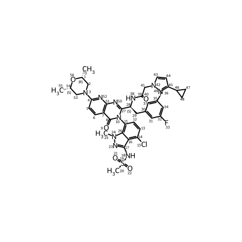 C[C@@H]1CN(c2ccc3c(=O)n(-c4ccc(Cl)c5c(NS(C)(=O)=O)nn(C)c45)c([C@H](Cc4cc(F)cc(F)c4)NC(=O)Cn4ccc(C5CC5)n4)nc3n2)C[C@H](C)O1